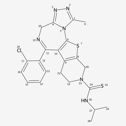 Cc1nnc2n1-c1sc3c(c1C(c1ccccc1Cl)=NC2)CCN(C(=S)NC(C)C)C3